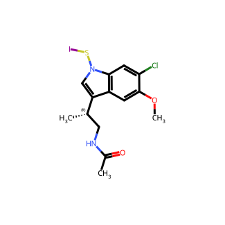 COc1cc2c([C@@H](C)CNC(C)=O)cn(SI)c2cc1Cl